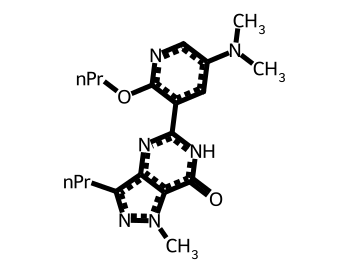 CCCOc1ncc(N(C)C)cc1-c1nc2c(CCC)nn(C)c2c(=O)[nH]1